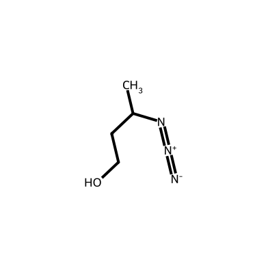 CC(CCO)N=[N+]=[N-]